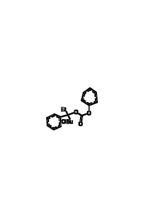 CCC(OCC(C)C)(OC(=O)Oc1ccccc1)c1ccccc1